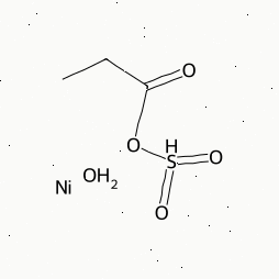 CCC(=O)O[SH](=O)=O.O.[Ni]